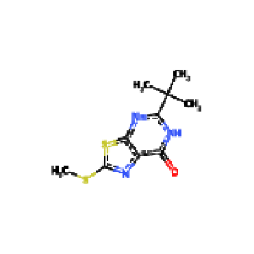 CSc1nc2c(=O)[nH]c(C(C)(C)C)nc2s1